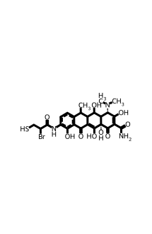 CC1c2ccc(NC(=O)C(Br)CS)c(O)c2C(=O)C2=C(O)[C@]3(O)C(=O)C(C(N)=O)=C(O)[C@@H](N(C)C)C3C(O)C21